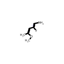 COC(C)=C/C(F)=C/N